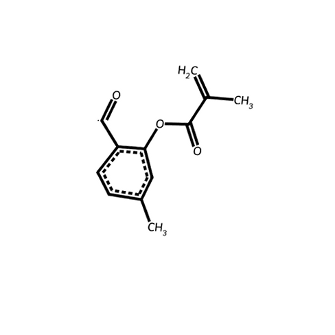 C=C(C)C(=O)Oc1cc(C)ccc1[C]=O